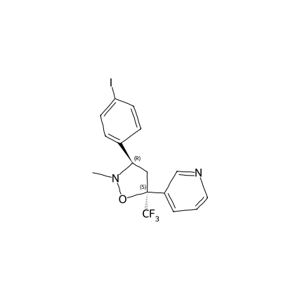 CN1O[C@@](c2cccnc2)(C(F)(F)F)C[C@@H]1c1ccc(I)cc1